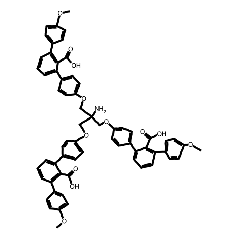 COc1ccc(-c2cccc(-c3ccc(OCC(N)(COc4ccc(-c5cccc(-c6ccc(OC)cc6)c5C(=O)O)cc4)COc4ccc(-c5cccc(-c6ccc(OC)cc6)c5C(=O)O)cc4)cc3)c2C(=O)O)cc1